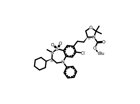 CN1[C@H](C2CCCCC2)CN(c2ccccc2)c2cc(Cl)c(CC[C@H]3COC(C)(C)N3C(=O)OC(C)(C)C)cc2S1(=O)=O